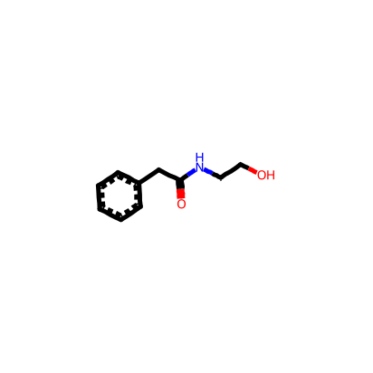 O=C(Cc1ccccc1)N[CH]CO